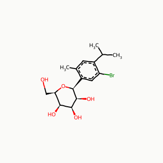 Cc1cc(C(C)C)c(Br)cc1[C@@H]1O[C@H](CO)[C@H](O)[C@H](O)[C@@H]1O